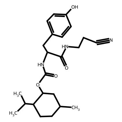 CC1CCC(C(C)C)C(OC(=O)NC(Cc2ccc(O)cc2)C(=O)NCCC#N)C1